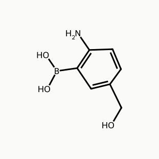 Nc1ccc(CO)cc1B(O)O